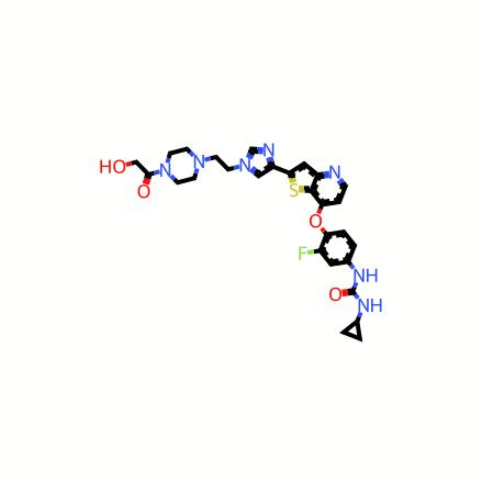 O=C(Nc1ccc(Oc2ccnc3cc(-c4cn(CCN5CCN(C(=O)CO)CC5)cn4)sc23)c(F)c1)NC1CC1